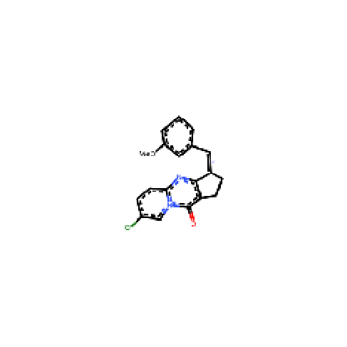 COc1cccc(/C=C2/CCc3c2nc2ccc(Cl)cn2c3=O)c1